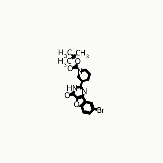 CC(C)(C)OC(=O)N1CCCC(c2nc3c(oc4ccc(Br)cc43)c(=O)[nH]2)C1